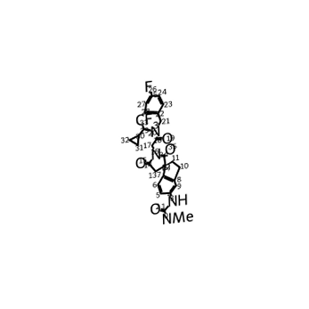 CNC(=O)Nc1ccc2c(c1)CC[C@]21CC(=O)N(CC(=O)N(Cc2ccc(F)cc2)C(C2CC2)C(F)(F)F)C1=O